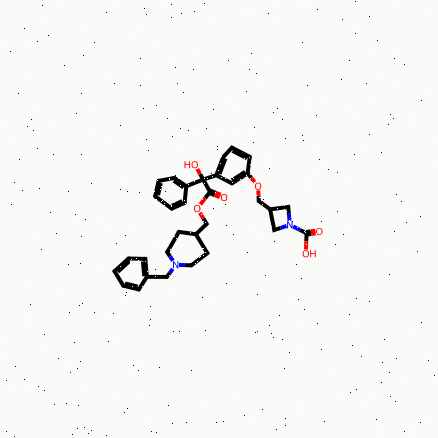 O=C(O)N1CC(COc2cccc(C(O)(C(=O)OCC3CCN(Cc4ccccc4)CC3)c3ccccc3)c2)C1